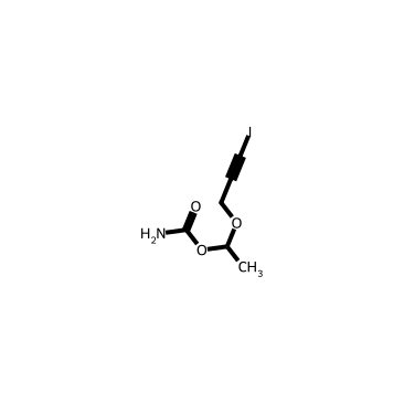 CC(OCC#CI)OC(N)=O